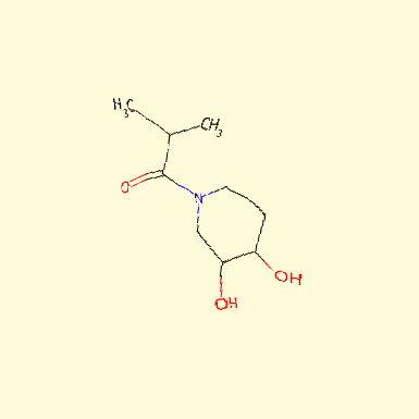 CC(C)C(=O)N1CCC(O)C(O)C1